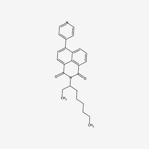 CCCCCCC(CC)N1C(=O)c2cccc3c(-c4ccncc4)ccc(c23)C1=O